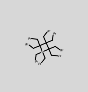 CC(C)CC1(CC(C)C)[C](CC(C)C)(CC(C)C)[Sn]([CH2]C(C)C)([CH2]C(C)C)[C]1(CC(C)C)CC(C)C